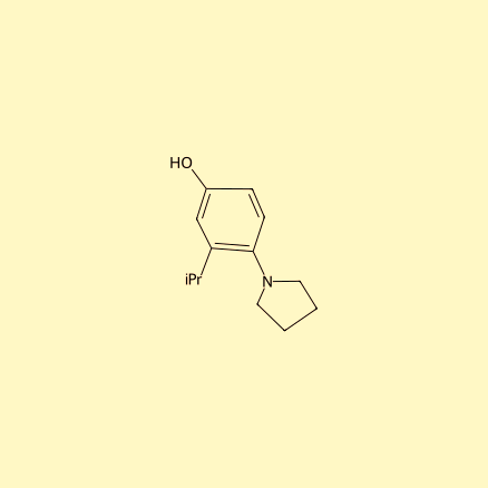 CC(C)c1cc(O)ccc1N1CCCC1